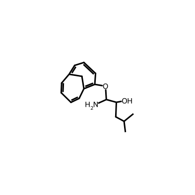 CC(C)CC(O)C(N)OC1=C2C=CC=CC(=CC=C1)C2